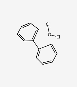 ClOCl.c1ccc(-c2ccccc2)cc1